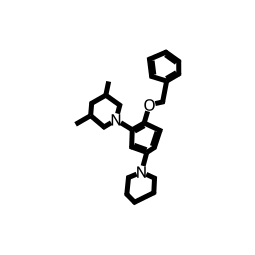 CC1CC(C)CN(c2cc(N3CCCCC3)ccc2OCc2ccccc2)C1